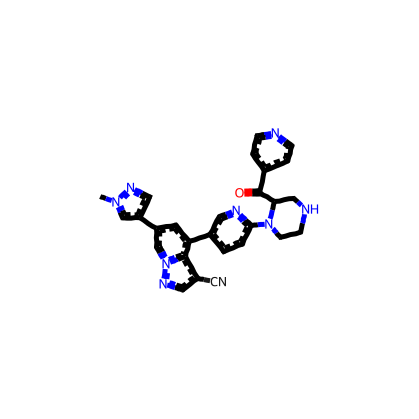 Cn1cc(-c2cc(-c3ccc(N4CCNCC4C(=O)c4ccncc4)nc3)c3c(C#N)cnn3c2)cn1